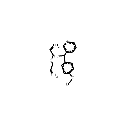 C=CCOCC=C.CCOc1ccc(C(O)c2cccnc2)cc1